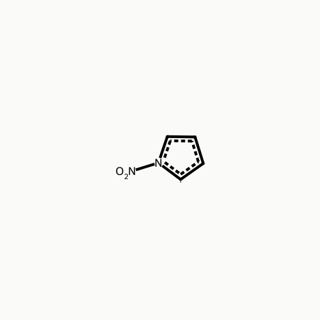 O=[N+]([O-])n1[c]ccc1